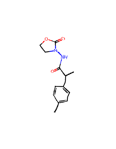 Cc1ccc(C(C)C(=O)NN2CCOC2=O)cc1